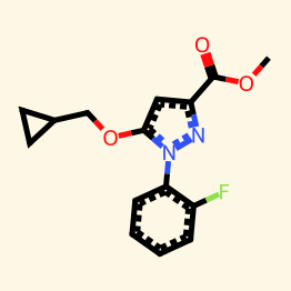 COC(=O)c1cc(OCC2CC2)n(-c2ccccc2F)n1